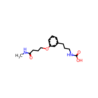 CNC(=O)CCCOc1cccc(CCCNC(=O)O)c1